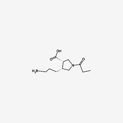 BCCC[C@H]1CN(C(=O)CC)C[C@H]1C(=O)O